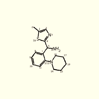 Cc1cnc(C(N)c2ccccc2N2CCCCC2)s1